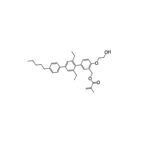 C=C(C)C(=O)OCc1cc(-c2c(CC)cc(-c3ccc(CCCCC)cc3)cc2CC)ccc1OCCO